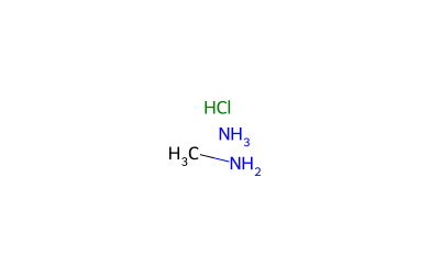 CN.Cl.N